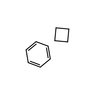 C1CCC1.c1ccccc1